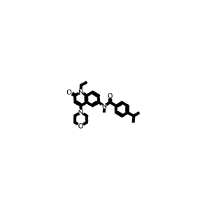 CCn1c(=O)cc(N2CCOCC2)c2cc(N(C)C(=O)c3ccc(C(C)C)cc3)ccc21